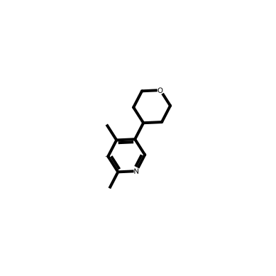 Cc1[c]c(C)c(C2CCOCC2)cn1